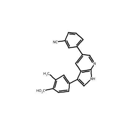 Cc1cc(-c2c[nH]c3ncc(-c4cccc(C#N)c4)cc23)ccc1C(=O)O